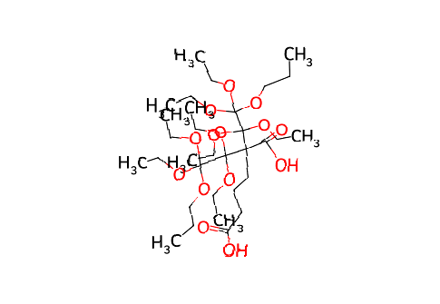 CCCOC(OCC)(OCC)C(OCC)(OCC)C(CCCC(=O)O)(C(=O)O)C(OCC)(OCC)C(OCC)(OCC)OCCC